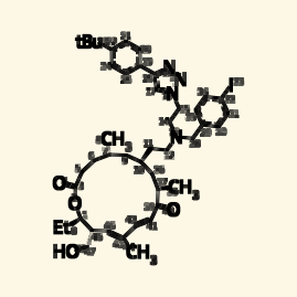 CC[C@H]1OC(=O)CC[C@H](C)C[C@@H](CCN(CCn2cc(-c3ccc(C(C)(C)C)cc3)nn2)Cc2ccc(I)cc2)C[C@@H](C)C(=O)/C=C/C(C)=C/[C@@H]1CO